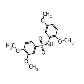 COc1ccc(OC)c(NS(=O)(=O)c2ccc(OC)c(OC)c2)c1